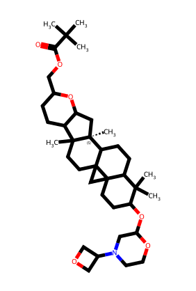 CC(C)(C)C(=O)OCC1CCC2C(C[C@@]3(C)C4CCC5C(C)(C)C(OC6CN(C7COC7)CCO6)CCC56CC46CCC23C)O1